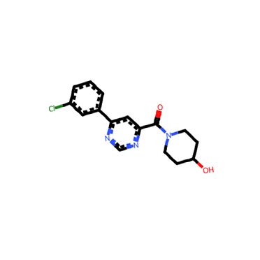 O=C(c1cc(-c2cccc(Cl)c2)ncn1)N1CCC(O)CC1